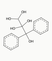 OC(O)C(O)(O)C(O)(c1ccccc1)c1ccccc1